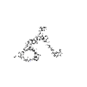 COc1cc2cc(c1Cl)N(C)C(=O)C[C@H](OC(=O)[C@H](C)N(C)C(=O)c1cc(F)c(NC(=O)[C@H](CCCNC(N)=O)NC(=O)[C@@H](NC(=S)NCCOCCOCCC(=O)ON3C(=O)CCC3=O)C(C)C)cc1Cl)[C@]1(C)O[C@H]1[C@H](C)[C@@H]1C[C@@](O)(NC(=O)O1)[C@H](OC)/C=C/C=C(\C)C2